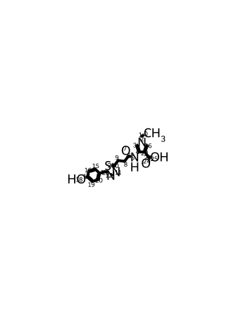 CCn1cc(NC(=O)CCc2nnc(-c3ccc(O)cc3)s2)c(C(=O)O)c1